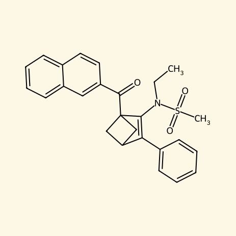 CCN(C1=C(c2ccccc2)C2CC1(C(=O)c1ccc3ccccc3c1)C2)S(C)(=O)=O